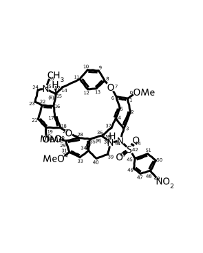 COc1cc2c3cc1Oc1ccc(cc1)C[C@@H]1c4cc(c(OC)cc4CCN1C)Oc1c(OC)c(OC)cc4c1[C@@H](C3)N(CC4)N2S(=O)(=O)c1ccc([N+](=O)[O-])cc1